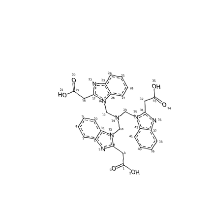 O=C(O)Cc1nc2ccccc2n1CN(Cn1c(CC(=O)O)nc2ccccc21)Cn1c(CC(=O)O)nc2ccccc21